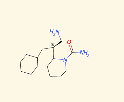 NC[C@H](CC1CCCCC1)C1CCCCN1C(N)=O